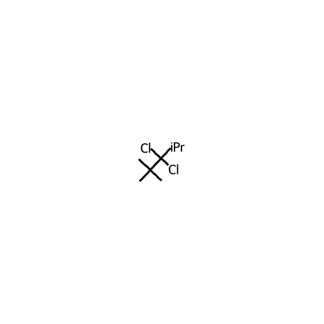 CC(C)C(Cl)(Cl)C(C)(C)C